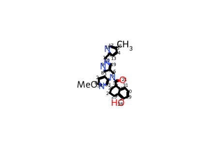 COc1ccc(N(Cc2cnn(Cc3ccc(C)cn3)c2)C(=O)C2CCCc3c(O)cccc32)cn1